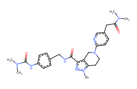 CC(C)n1nc(C(=O)NCc2ccc(NC(=O)N(C)C)cc2)c2c1CCN(c1ccc(CC(=O)N(C)C)cn1)C2